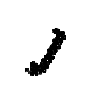 CO[Si](OC)(OC)O[SiH2][Si](=O)[Si](=O)[Si](=O)[Si](=O)[Si](=O)[Si](=O)[Si](=O)[Si](=O)[Si](=O)[Si](=O)[Si](=O)[Si](=O)[Si](=O)[Si](=O)[Si](=O)[Si](=O)[Si](=O)[Si](=O)[Si](=O)[Si](=O)[Si](=O)[Si](=O)[Si](=O)[Si](=O)[Si](=O)[Si](=O)[Si](=O)[Si](C)(C)O[Si](C)(C)C